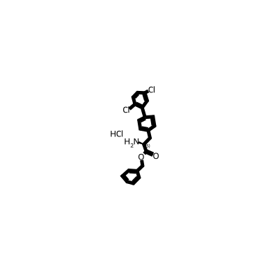 Cl.N[C@@H](Cc1ccc(-c2cc(Cl)ccc2Cl)cc1)C(=O)OCc1ccccc1